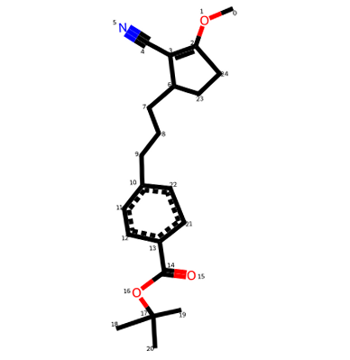 COC1=C(C#N)C(CCCc2ccc(C(=O)OC(C)(C)C)cc2)CC1